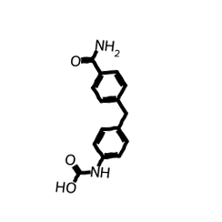 NC(=O)c1ccc(Cc2ccc(NC(=O)O)cc2)cc1